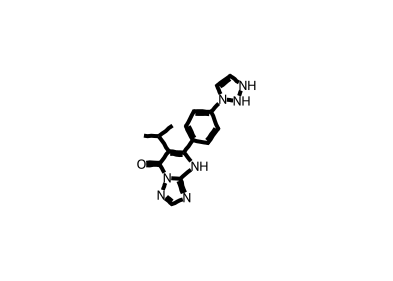 CC(C)c1c(-c2ccc(N3C=CNN3)cc2)[nH]c2ncnn2c1=O